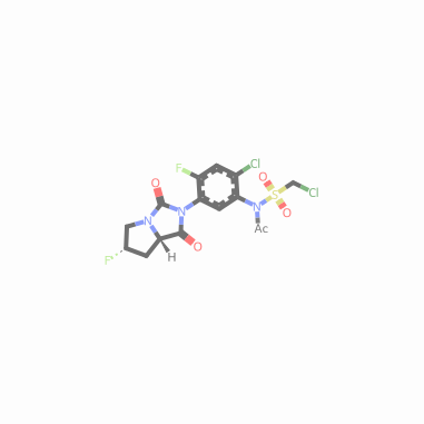 CC(=O)N(c1cc(N2C(=O)[C@@H]3C[C@H](F)CN3C2=O)c(F)cc1Cl)S(=O)(=O)CCl